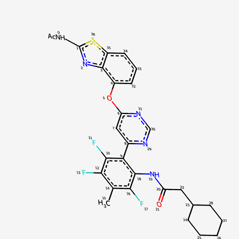 CC(=O)Nc1nc2c(Oc3cc(-c4c(F)c(F)c(C)c(F)c4NC(=O)CC4CCCCC4)ncn3)cccc2s1